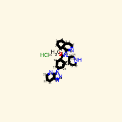 Cc1cccc2ccnc(N(C(=O)c3ccc(-n4nnc5cccnc54)cc3C(F)(F)F)[C@@H]3CCCNC3)c12.Cl